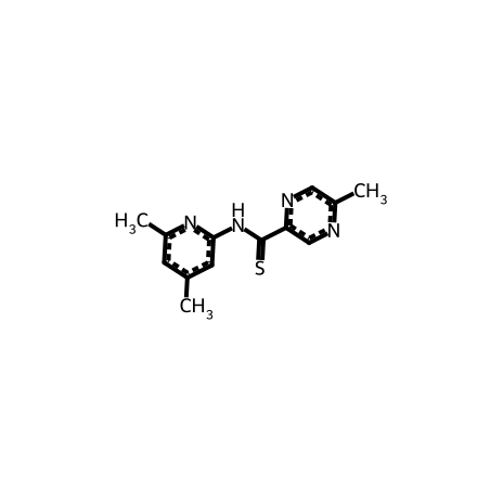 Cc1cc(C)nc(NC(=S)c2cnc(C)cn2)c1